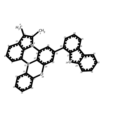 Cc1c(C)n2c3c(cccc13)B1c3ccccc3Oc3cc(-c4cccc5c4oc4ccccc45)cc-2c31